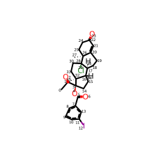 CC(=O)[C@@]1(OC(=O)c2cccc(I)c2)CC[C@H]2[C@@H]3CCC4=CC(=O)CC[C@]4(C)[C@@]3(Cl)CC[C@@]21C